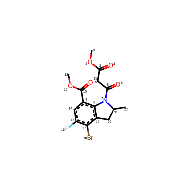 COC(=O)CC(=O)N1c2c(C(=O)OC)cc(F)c(Br)c2CC1C